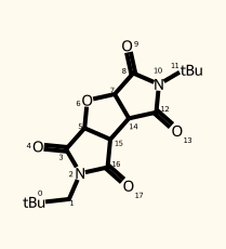 CC(C)(C)CN1C(=O)C2OC3C(=O)N(C(C)(C)C)C(=O)C3C2C1=O